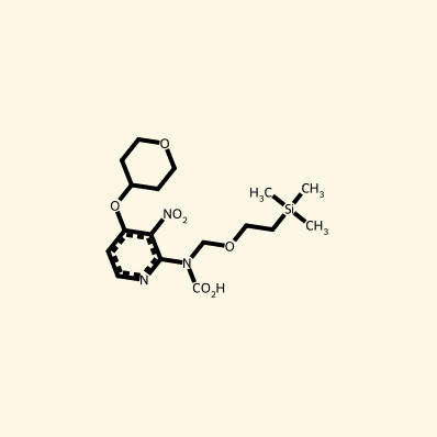 C[Si](C)(C)CCOCN(C(=O)O)c1nccc(OC2CCOCC2)c1[N+](=O)[O-]